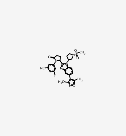 Cc1noc(C)c1-c1ccc2c(c1)nc(C1CCC(=O)N1c1cc(F)cc(C#N)c1)n2C1CCN(S(C)(=O)=O)C1